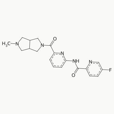 CN1CC2CN(C(=O)c3cccc(NC(=O)c4ccc(F)cn4)n3)CC2C1